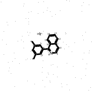 Cc1cc(C)cc(-c2nccc3ccccc23)c1.[Ir]